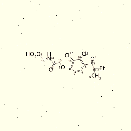 C=C(CC)C(=O)c1ccc(OCC(=O)NCC(=O)O)c(Cl)c1Cl